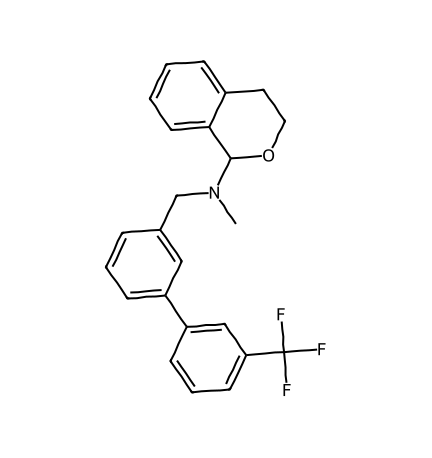 CN(Cc1cccc(-c2cccc(C(F)(F)F)c2)c1)C1OCCc2ccccc21